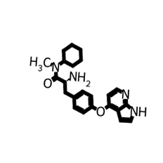 CN(C(=O)[C@H](N)Cc1ccc(Oc2ccnc3[nH]ccc23)cc1)C1CCCCC1